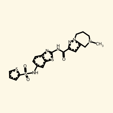 CN1CCCn2nc(C(=O)Nc3nc4ccc(NS(=O)(=O)c5cccs5)cc4s3)cc2C1